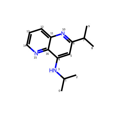 CC(C)Nc1cc(C(C)C)nc2cccnc12